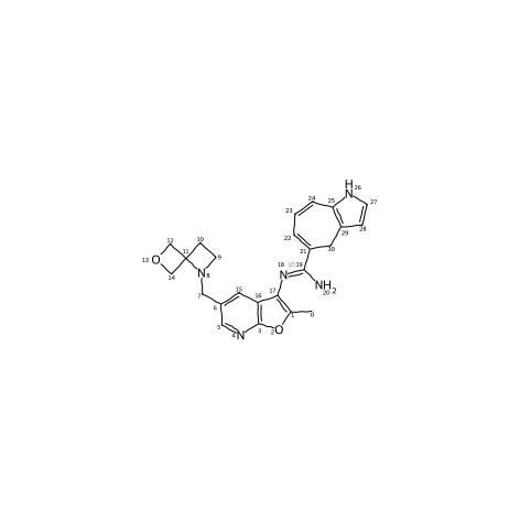 Cc1oc2ncc(CN3CCC34COC4)cc2c1/N=C(\N)C1=CC=Cc2[nH]ccc2C1